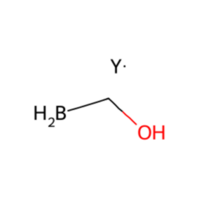 BCO.[Y]